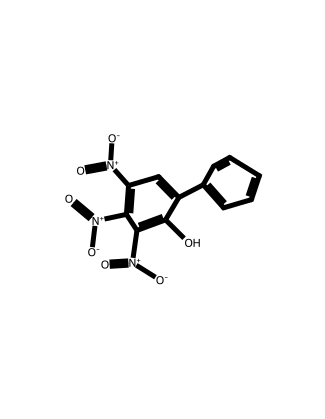 O=[N+]([O-])c1cc(-c2ccccc2)c(O)c([N+](=O)[O-])c1[N+](=O)[O-]